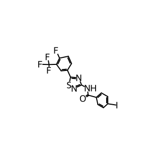 O=C(Nc1nsc(-c2ccc(F)c(C(F)(F)F)c2)n1)c1ccc(I)cc1